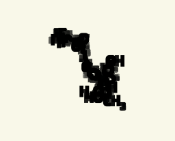 C[C@@H]1C[C@H]2[C@@H]3CCc4cc(O)ccc4[C@H]3[C@@H](c3ccc(OCCCCCS(=O)(=O)CCCC(F)(F)C(F)(F)F)cc3)C[C@]2(C)[C@H]1O